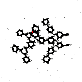 N#Cc1ccc2c(c1)B1c3cc(C#N)ccc3N(c3ccc(-c4ccccc4)cc3)c3cc(-c4ccc5c(c4)c4ccccc4n5-c4ccc(-c5nc(-c6ccccc6)nc(-c6ccccc6)n5)cc4-c4nc(-c5ccccc5)nc(-c5ccccc5)n4)cc(c31)N2c1ccc(-c2ccccc2)cc1